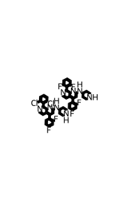 Fc1ccc(-c2cc(NC3CCNCC3)nc3c(-c4c(Cl)cccc4Cl)nccc23)c(F)c1.Fc1ccc(-c2cc(NC3CCNCC3)nc3c(-c4c(F)cccc4F)nccc23)c(F)c1